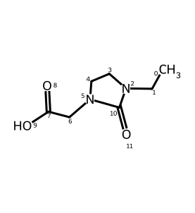 CCN1CCN(CC(=O)O)C1=O